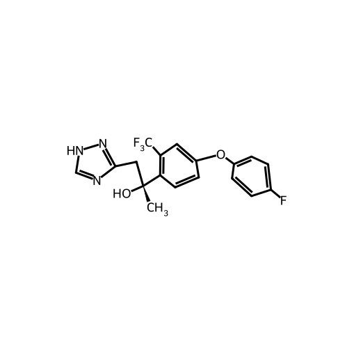 C[C@@](O)(Cc1nc[nH]n1)c1ccc(Oc2ccc(F)cc2)cc1C(F)(F)F